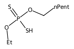 CCCCCCOP(=S)(S)OCC